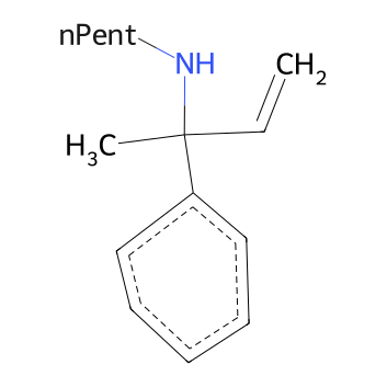 C=CC(C)(NCCCCC)c1ccccc1